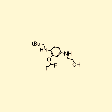 CC(C)(C)CNc1ccc(NCCO)cc1OC(F)F